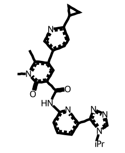 Cc1c(-c2ccc(C3CC3)nc2)cc(C(=O)Nc2cccc(-c3nncn3C(C)C)n2)c(=O)n1C